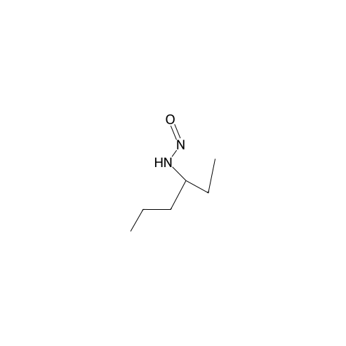 CCCC(CC)NN=O